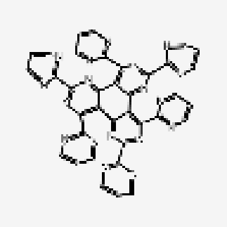 c1cnc(-c2nc(-c3ncccn3)c3c(n2)c2c(-c4ncccn4)nc(-c4ncccn4)nc2c2c(-c4ncccn4)nc(-c4ncccn4)nc32)nc1